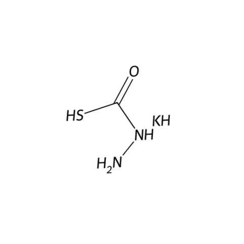 NNC(=O)S.[KH]